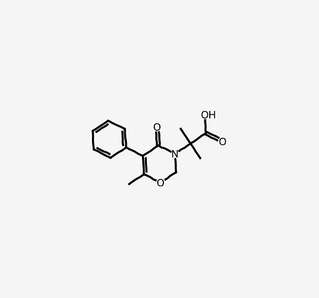 CC1=C(c2ccccc2)C(=O)N(C(C)(C)C(=O)O)CO1